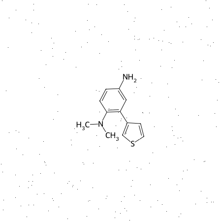 CN(C)c1ccc(N)cc1-c1ccsc1